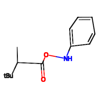 CC(C(=O)ONc1ccccc1)C(C)(C)C